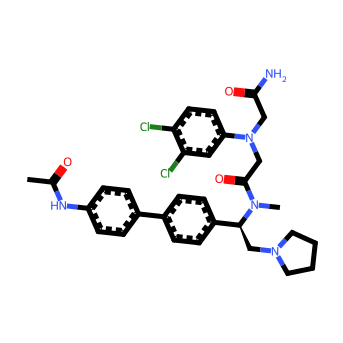 CC(=O)Nc1ccc(-c2ccc([C@H](CN3CCCC3)N(C)C(=O)CN(CC(N)=O)c3ccc(Cl)c(Cl)c3)cc2)cc1